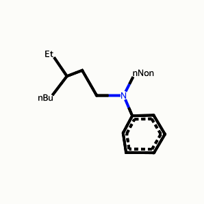 CCCCCCCCCN(CCC(CC)CCCC)c1ccccc1